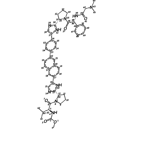 COC(=O)N[C@H](C(=O)N1CCC[C@H]1c1ncc(-c2ccc3cc(-c4ccc(-c5cnc([C@@H]6CCCN6C(=O)[C@H](NC(=O)CN(C)C)c6ccccc6)[nH]5)cc4)ccc3c2)[nH]1)C(C)C